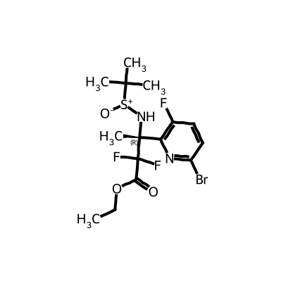 CCOC(=O)C(F)(F)[C@](C)(N[S+]([O-])C(C)(C)C)c1nc(Br)ccc1F